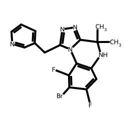 CC1(C)Nc2cc(F)c(Br)c(F)c2-n2c(Cc3cccnc3)nnc21